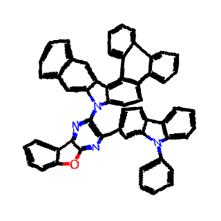 c1ccc(-n2c3ccccc3c3ccc(-c4nc5oc6ccccc6c5nc4-n4c5cc6ccccc6cc5c5c6c7ccccc7c7ccccc7c6ccc54)cc32)cc1